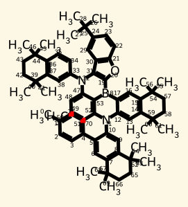 Cc1ccc(-c2cc3c(cc2N2c4cc5c(cc4B4c6oc7ccc(C(C)(C)C)cc7c6N(c6ccc7c(c6)C(C)(C)CCC7(C)C)c6cc(C)cc2c64)C(C)(C)CCC5(C)C)C(C)(C)CCC3(C)C)cc1